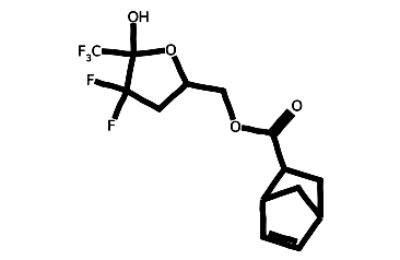 O=C(OCC1CC(F)(F)C(O)(C(F)(F)F)O1)C1CC2C=CC1C2